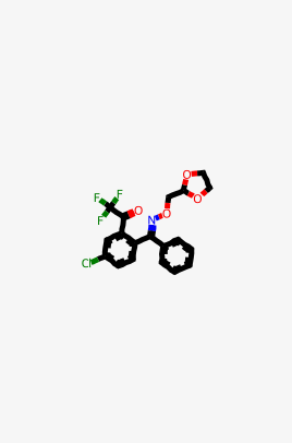 O=C(c1cc(Cl)ccc1C(=NOCC1OCCO1)c1ccccc1)C(F)(F)F